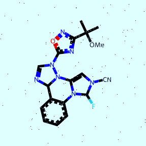 COC(C)(C)c1noc(N2C=NC3c4ccccc4N4C(=CN(C#N)C4F)N32)n1